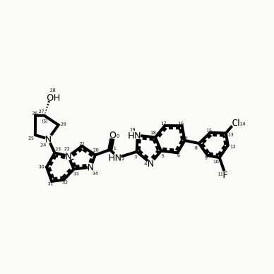 O=C(Nc1nc2cc(-c3cc(F)cc(Cl)c3)ccc2[nH]1)c1cn2c(N3CC[C@H](O)C3)cccc2n1